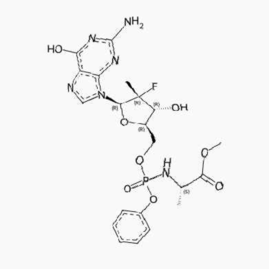 COC(=O)[C@H](C)NP(=O)(OC[C@H]1O[C@@H](n2cnc3c(O)nc(N)nc32)[C@](C)(F)[C@@H]1O)Oc1ccccc1